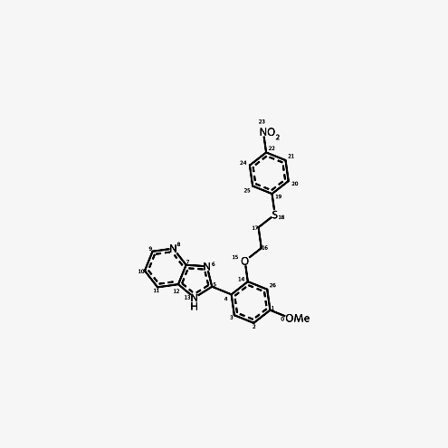 COc1ccc(-c2nc3ncccc3[nH]2)c(OCCSc2ccc([N+](=O)[O-])cc2)c1